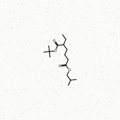 [CH2]CC(CCCC(=O)OCC(C)C)C(=O)OC(C)(C)C